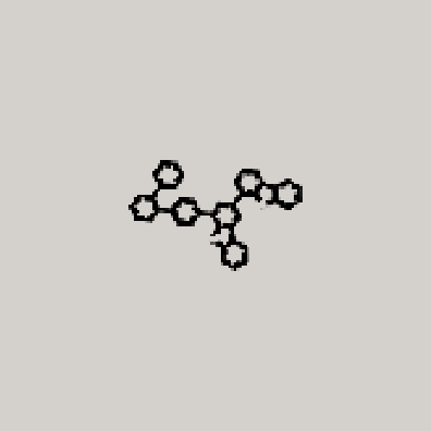 c1ccc(-c2ccccc2-c2ccc(-c3cc(-c4cccc5c4oc4ccccc45)cc4c3oc3ccccc34)cc2)cc1